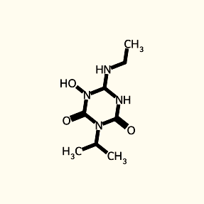 CCNC1NC(=O)N(C(C)C)C(=O)N1O